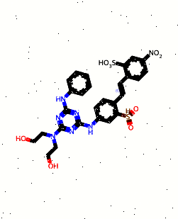 O=[N+]([O-])c1ccc(/C=C/c2ccc(Nc3nc(Nc4ccccc4)nc(N(CCO)CCO)n3)cc2[SH](=O)=O)c(S(=O)(=O)O)c1